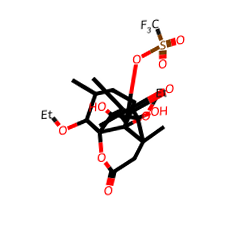 CCOC1C(C)CCC2(OCC)C3(C)CC(=O)OC12C1(O)C(C)=C(OS(=O)(=O)C(F)(F)F)C(=O)C31O